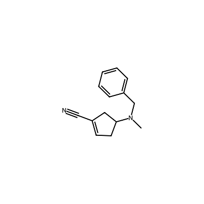 CN(Cc1ccccc1)C1CC=C(C#N)C1